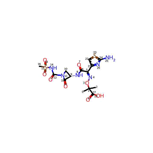 CC(C)(ON=C(C(=O)N[C@H]1CN(C(=O)NS(C)(=O)=O)C1=O)c1csc(N)n1)C(=O)O